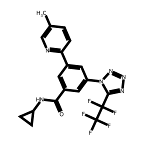 Cc1ccc(-c2cc(C(=O)NC3CC3)cc(-n3nnnc3C(F)(F)C(F)(F)F)c2)nc1